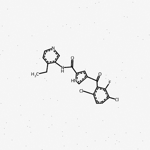 CCc1ccncc1NC(=O)c1cc(C(=O)c2c(Cl)ccc(Cl)c2F)c[nH]1